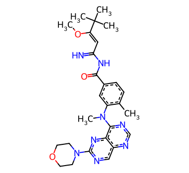 CO/C(=C\C(=N)NC(=O)c1ccc(C)c(N(C)c2ncnc3cnc(N4CCOCC4)nc23)c1)C(C)(C)C